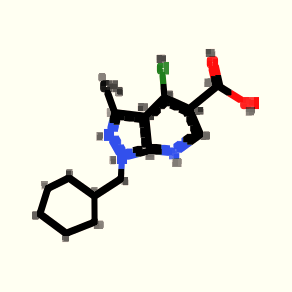 Cc1nn(CC2CCCCC2)c2ncc(C(=O)O)c(Cl)c12